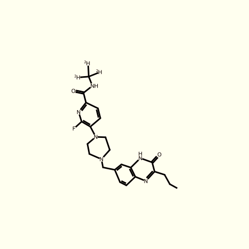 [2H]C([2H])([2H])NC(=O)c1ccc(N2CCN(Cc3ccc4nc(CCC)c(=O)[nH]c4c3)CC2)c(F)n1